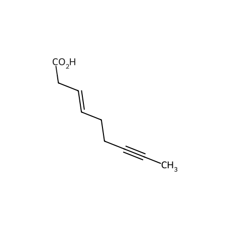 CC#CCC/C=C/CC(=O)O